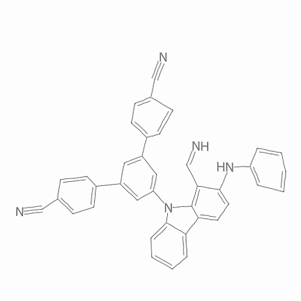 N#Cc1ccc(-c2cc(-c3ccc(C#N)cc3)cc(-n3c4ccccc4c4ccc(Nc5ccccc5)c(C=N)c43)c2)cc1